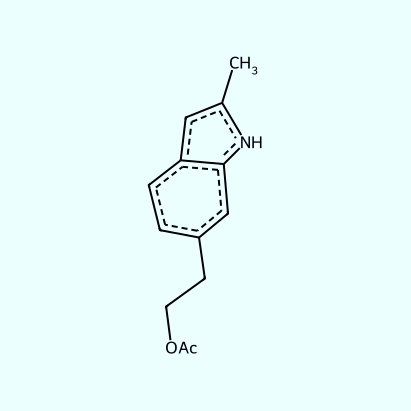 CC(=O)OCCc1ccc2cc(C)[nH]c2c1